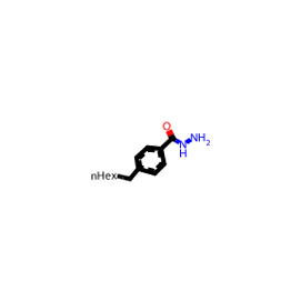 CCCCCCCc1ccc(C(=O)NN)cc1